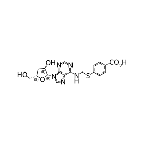 O=C(O)c1ccc(SCNc2ncnc3c2ncn3[C@@H]2O[C@H](CO)C[C@H]2O)cc1